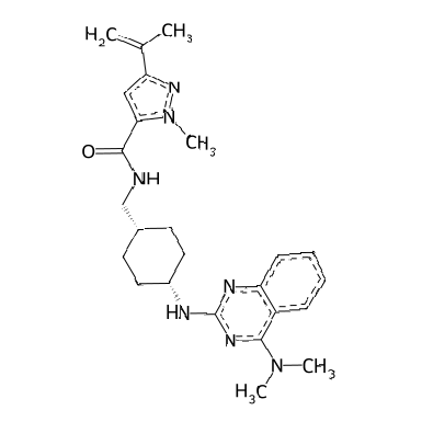 C=C(C)c1cc(C(=O)NC[C@H]2CC[C@@H](Nc3nc(N(C)C)c4ccccc4n3)CC2)n(C)n1